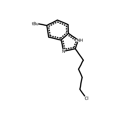 CC(C)(C)c1ccc2[nH]c(CCCCCl)nc2c1